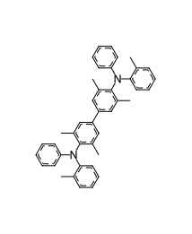 Cc1ccccc1N(c1ccccc1)c1c(C)cc(-c2cc(C)c(N(c3ccccc3)c3ccccc3C)c(C)c2)cc1C